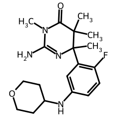 CN1C(=O)C(C)(C)C(C)(c2cc(NC3CCOCC3)ccc2F)N=C1N